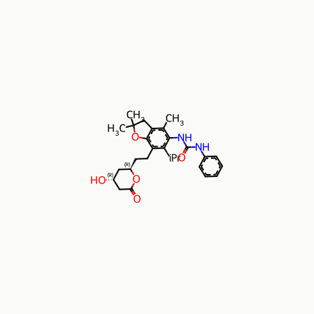 Cc1c2c(c(CC[C@@H]3C[C@@H](O)CC(=O)O3)c(C(C)C)c1NC(=O)Nc1ccccc1)OC(C)(C)C2